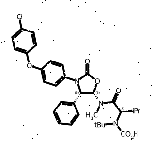 CC(C)[C@H](C(=O)N(C)[C@H]1OC(=O)N(c2ccc(Oc3ccc(Cl)cc3)cc2)[C@H]1c1ccccc1)N(C(=O)O)C(C)(C)C